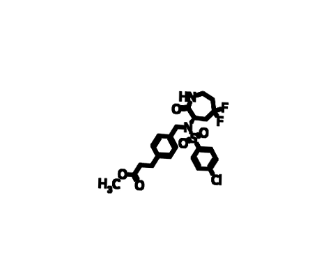 COC(=O)CCc1ccc(CN([C@@H]2CC(F)(F)CCNC2=O)S(=O)(=O)c2ccc(Cl)cc2)cc1